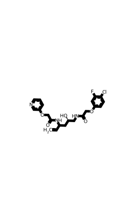 C=CC(C[C@H](O)CNC(=O)COc1ccc(Cl)c(F)c1)NC(=O)COc1cccnc1